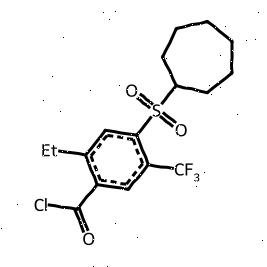 CCc1cc(S(=O)(=O)C2CCCCCC2)c(C(F)(F)F)cc1C(=O)Cl